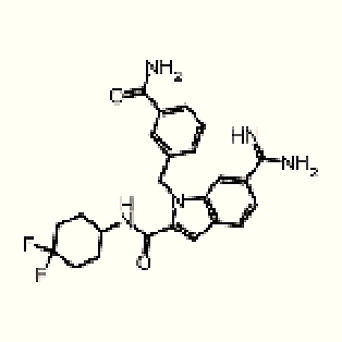 N=C(N)c1ccc2cc(C(=O)NC3CCC(F)(F)CC3)n(Cc3cccc(C(N)=O)c3)c2c1